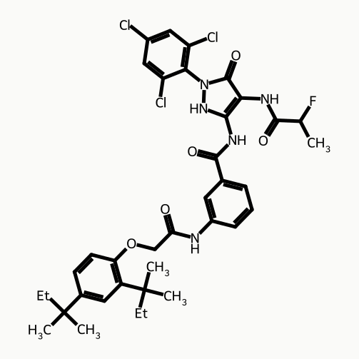 CCC(C)(C)c1ccc(OCC(=O)Nc2cccc(C(=O)Nc3[nH]n(-c4c(Cl)cc(Cl)cc4Cl)c(=O)c3NC(=O)C(C)F)c2)c(C(C)(C)CC)c1